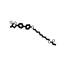 C=CC(=O)OCCCCCCCCCCOc1ccc(-c2ccc(C3CC(=C)C(=O)O3)cc2)cc1